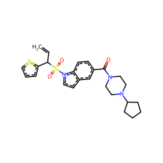 C=CC(c1cccs1)S(=O)(=O)n1ccc2cc(C(=O)N3CCN(C4CCCC4)CC3)ccc21